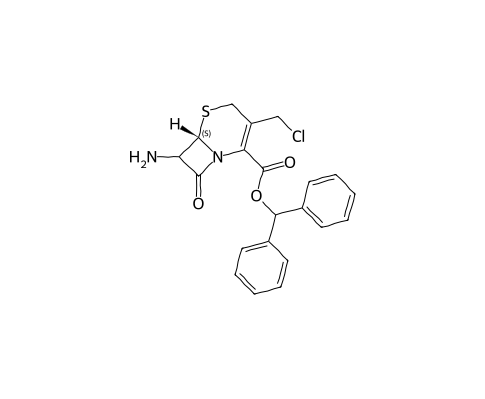 NC1C(=O)N2C(C(=O)OC(c3ccccc3)c3ccccc3)=C(CCl)CS[C@@H]12